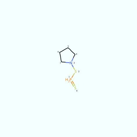 S=[PH2]SN1CCCC1